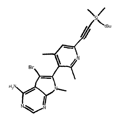 Cc1cc(C#C[Si](C)(C)C(C)(C)C)nc(C)c1-c1c(Br)c2c(N)ncnc2n1C